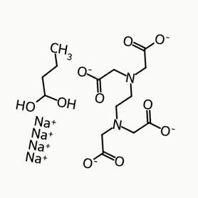 CCCC(O)O.O=C([O-])CN(CCN(CC(=O)[O-])CC(=O)[O-])CC(=O)[O-].[Na+].[Na+].[Na+].[Na+]